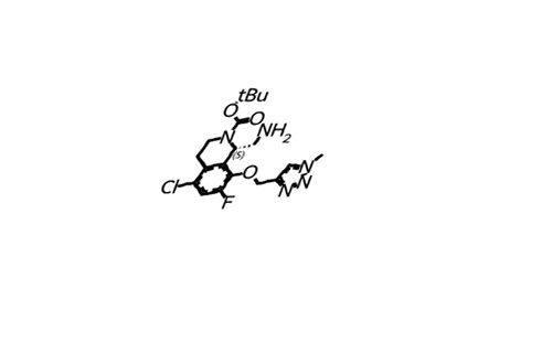 Cn1cc(COc2c(F)cc(Cl)c3c2[C@@H](CN)N(C(=O)OC(C)(C)C)CC3)nn1